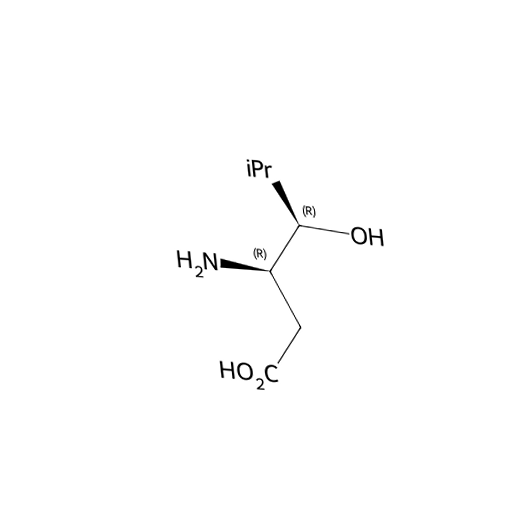 CC(C)[C@@H](O)[C@H](N)CC(=O)O